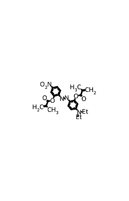 C=C(C)C(=O)Oc1cc(N(CC)CC)ccc1N=Nc1ccc([N+](=O)[O-])cc1OC(=O)C(=C)C